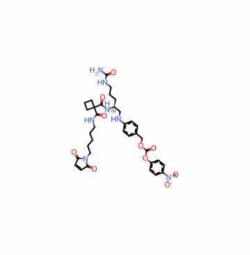 NC(=O)NCCC[C@@H](CNc1ccc(COC(=O)Oc2ccc([N+](=O)[O-])cc2)cc1)NC(=O)C1(C(=O)NCCCCCN2C(=O)C=CC2=O)CCC1